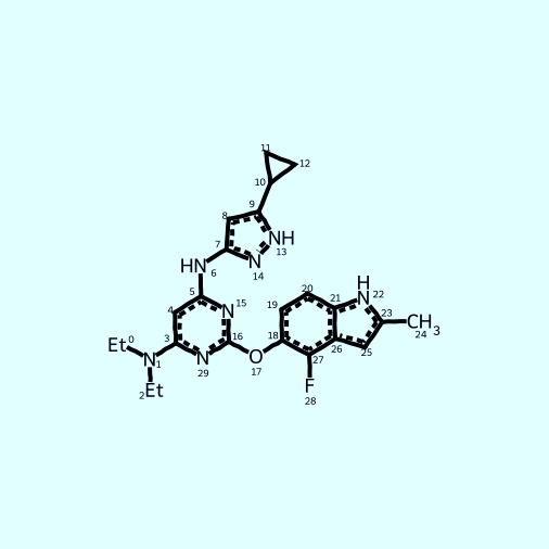 CCN(CC)c1cc(Nc2cc(C3CC3)[nH]n2)nc(Oc2ccc3[nH]c(C)cc3c2F)n1